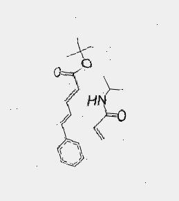 C=CC(=O)NC(C)C.CC(C)(C)OC(=O)C=CC=Cc1ccccc1